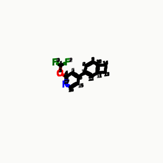 FC(F)Oc1cc(-c2ccc3c(c2)CC3)ccn1